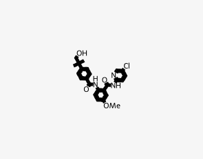 COc1ccc(NC(=O)c2ccc(C(C)(C)CO)cc2)c(C(=O)Nc2ccc(Cl)cn2)c1